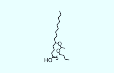 CCCCCCCCCC(CCCC(O)=S)OC(C)OCCCC